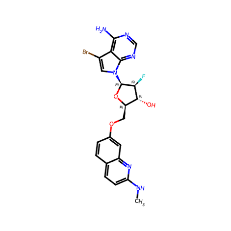 CNc1ccc2ccc(OC[C@H]3O[C@@H](n4cc(Br)c5c(N)ncnc54)[C@@H](F)[C@@H]3O)cc2n1